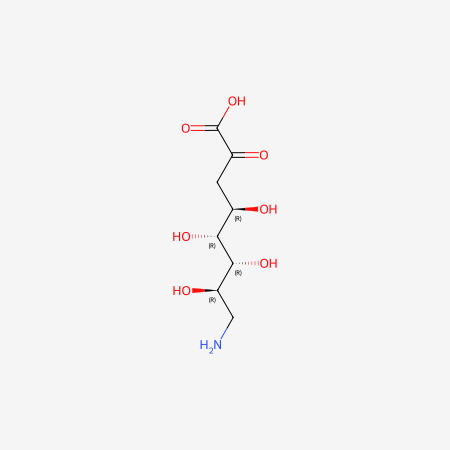 NC[C@@H](O)[C@@H](O)[C@H](O)[C@H](O)CC(=O)C(=O)O